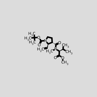 C=C[C@@H]1[C@@H](C(=O)N(C)[C@H](C(=O)OC)C(C)C)CCN1C(=O)OC(C)(C)C